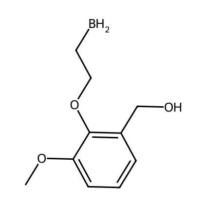 BCCOc1c(CO)cccc1OC